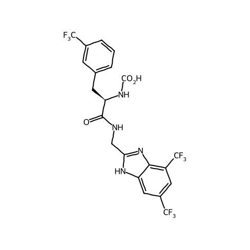 O=C(O)N[C@H](Cc1cccc(C(F)(F)F)c1)C(=O)NCc1nc2c(C(F)(F)F)cc(C(F)(F)F)cc2[nH]1